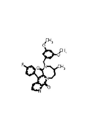 COc1cc(CN2CC(C)CCn3c(c(-c4ccc(F)cc4)c4cccnc4c3=O)C2=O)cc(OC)c1